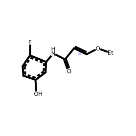 CCO/C=C/C(=O)Nc1cc(O)ccc1F